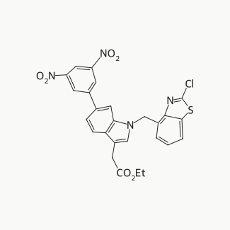 CCOC(=O)Cc1cn(Cc2cccc3sc(Cl)nc23)c2cc(-c3cc([N+](=O)[O-])cc([N+](=O)[O-])c3)ccc12